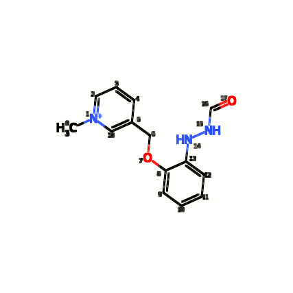 C[n+]1cccc(COc2ccccc2NNC=O)c1